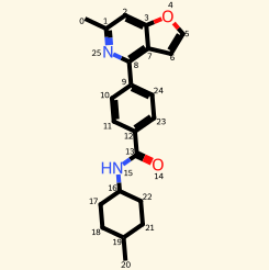 Cc1cc2occc2c(-c2ccc(C(=O)NC3CCC(C)CC3)cc2)n1